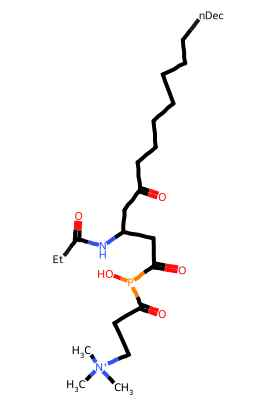 CCCCCCCCCCCCCCCCCC(=O)CC(CC(=O)P(O)C(=O)CC[N+](C)(C)C)NC(=O)CC